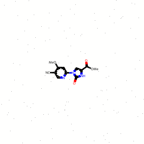 COC(=O)c1cn(-c2cc(OC)c(C#N)cn2)c(=O)[nH]1